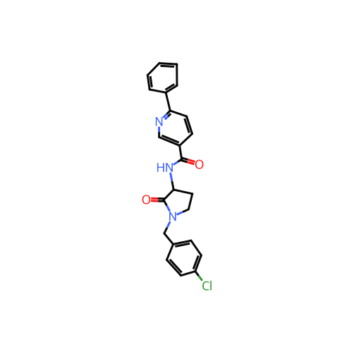 O=C(NC1CCN(Cc2ccc(Cl)cc2)C1=O)c1ccc(-c2ccccc2)nc1